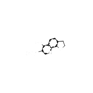 CCOC(=O)c1cnc2c3c(ccc2c1O)CCO3